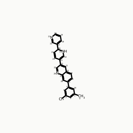 Cc1cc(Cl)cc(-c2ccc3cc(C4=CNC(c5cccnc5)C=C4)cnc3c2)c1